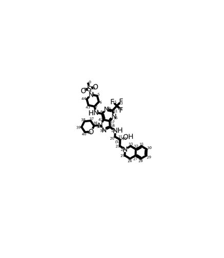 CS(=O)(=O)N1CCC(Nc2nc(C(F)(F)F)nc3c(NC[C@H](O)CN4CCc5ccccc5C4)nn(C4CCCCO4)c23)CC1